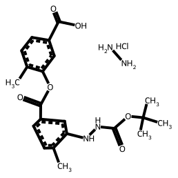 Cc1ccc(C(=O)Oc2cc(C(=O)O)ccc2C)cc1NNC(=O)OC(C)(C)C.Cl.NN